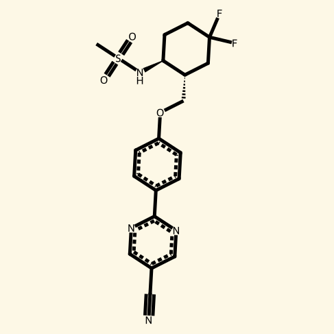 CS(=O)(=O)N[C@H]1CCC(F)(F)C[C@@H]1COc1ccc(-c2ncc(C#N)cn2)cc1